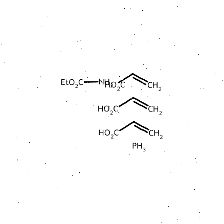 C=CC(=O)O.C=CC(=O)O.C=CC(=O)O.CCOC(N)=O.P